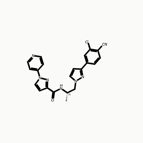 C[C@@H](Cn1ccc(-c2ccc(C#N)c(Cl)c2)n1)NC(=O)c1ccn(-c2ccncc2)n1